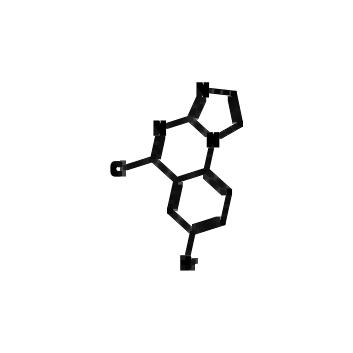 Clc1nc2nccn2c2ccc(Br)cc12